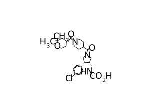 CC1(C)CC(C(=O)N2CCC(C(=O)N3C[C@H](CNC(=O)O)[C@H](c4ccc(Cl)cc4)C3)CC2)CCO1